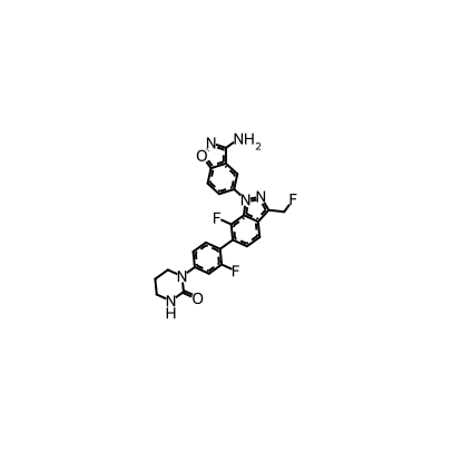 Nc1noc2ccc(-n3nc(CF)c4ccc(-c5ccc(N6CCCNC6=O)cc5F)c(F)c43)cc12